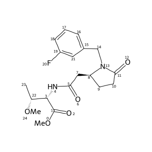 COC(=O)[C@@H](NC(=O)C[C@@H]1CCC(=O)N1Cc1cccc(F)c1)[C@@H](C)OC